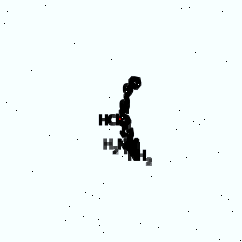 Cc1nc(N)nc(N)c1N1CCN(c2ccc(C=NOCCCOc3ccccc3)cc2)CC1.Cl